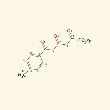 CCOC(=O)C(=O)CC(=O)CC(=O)c1ccc(C)cc1